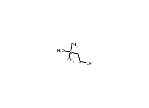 C[Si](C)(C)CSC#N